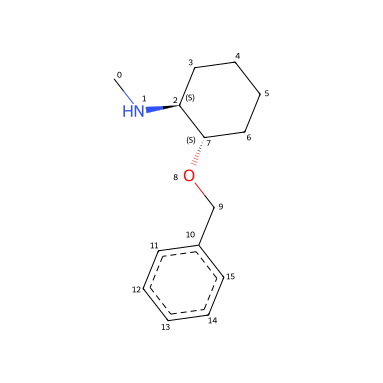 CN[C@H]1CCCC[C@@H]1OCc1ccccc1